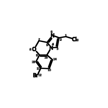 ClCc1cn2c(n1)COc1cc(Br)ccc1-2